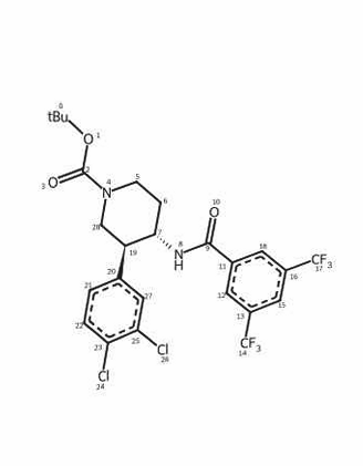 CC(C)(C)OC(=O)N1CC[C@H](NC(=O)c2cc(C(F)(F)F)cc(C(F)(F)F)c2)[C@@H](c2ccc(Cl)c(Cl)c2)C1